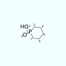 O=P1(O)CCCCC1